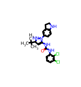 CC(C)(C)C1C=C(NC(=O)Nc2cccc(Cl)c2Cl)N(c2ccc3c(c2)CCN3)N1